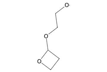 [O]CCOC1CCO1